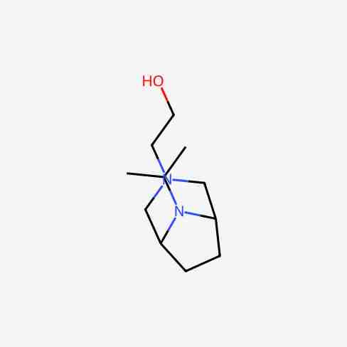 CC(C)N1C2CCC1CN(CCO)C2